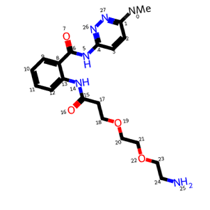 CNc1ccc(NC(=O)c2ccccc2NC(=O)CCOCCOCCN)nn1